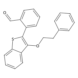 O=Cc1ccccc1-c1sc2ccccc2c1OCCc1ccccc1